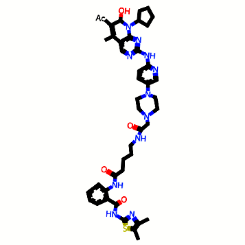 CC(=O)C1=C(C)c2cnc(Nc3ccc(N4CCN(CC(=O)NCCCCC(=O)Nc5ccccc5C(=O)Nc5nc(C)c(C)s5)CC4)cn3)nc2N(C2CCCC2)C1O